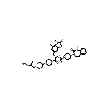 CCCOC(=O)CN1CCC(N2CCN(C(=O)[C@@H](Cc3cc(C)c4c(c3)oc(=O)n4C)OC(=O)N3CCC(N4CCc5ccccc5NC4=O)CC3)CC2)CC1